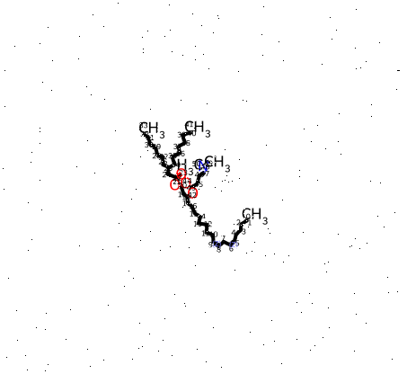 CCCCC/C=C\C/C=C\CCCCCCCCC(CCOC(=O)CC(CCCCCCCC)CCCCCCCC)OC(=O)CCCN(C)C